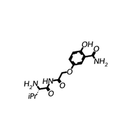 CC(C)[C@H](N)C(=O)NC(=O)COc1ccc(O)c(C(N)=O)c1